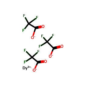 O=C([O-])C(F)(F)F.O=C([O-])C(F)(F)F.O=C([O-])C(F)(F)F.[Dy+3]